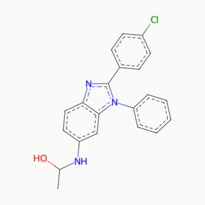 CC(O)Nc1ccc2nc(-c3ccc(Cl)cc3)n(-c3ccccc3)c2c1